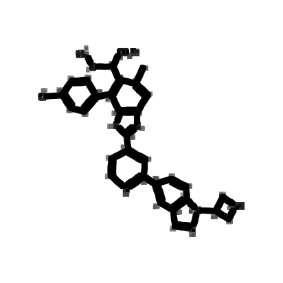 CCOC(=O)C(OC(C)(C)C)c1c(C)cc2nc(-c3ccnc(-c4ccc5c(cnn5C5CNC5)c4)c3)sc2c1-c1ccc(Cl)cc1